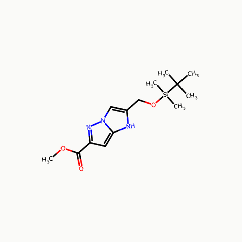 COC(=O)c1cc2[nH]c(CO[Si](C)(C)C(C)(C)C)cn2n1